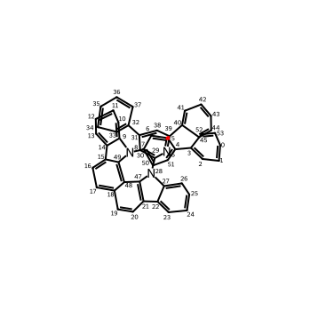 c1ccc(-c2ccc(-n3c4ccccc4c4ccc5ccc6c7ccccc7n(-c7cc(-c8ccccc8)cc(-c8ccccc8)n7)c6c5c43)cc2)cc1